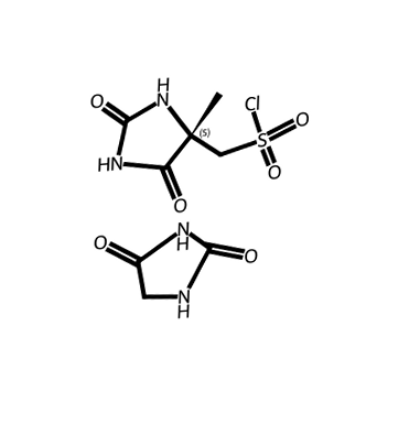 C[C@]1(CS(=O)(=O)Cl)NC(=O)NC1=O.O=C1CNC(=O)N1